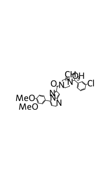 COc1ccc(-c2ccnc3cc(C(=O)N4CCN(C(O)c5cccc(Cl)c5)[C@@H](C)C4)nn23)cc1OC